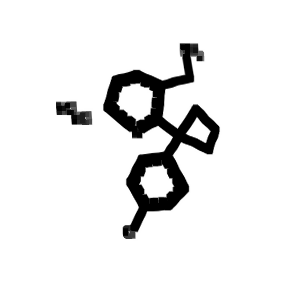 Cl.Cl.NCc1cccnc1C1(c2ccc(Cl)cc2)CCC1